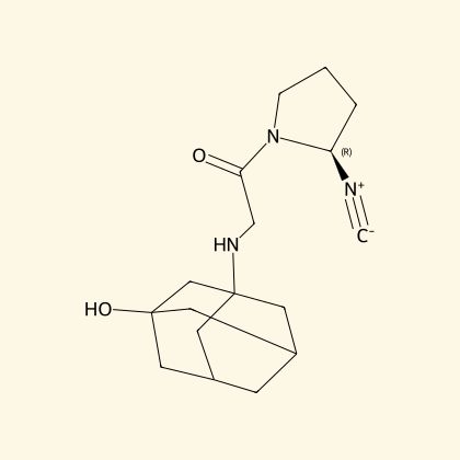 [C-]#[N+][C@@H]1CCCN1C(=O)CNC12CC3CC(CC(O)(C3)C1)C2